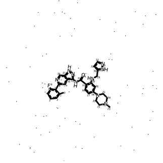 Cc1cccc(F)c1-c1cc2c(NC(=O)c3ccc(N4CCN(C)CC4)cc3NCc3ccn[nH]3)n[nH]c2cn1